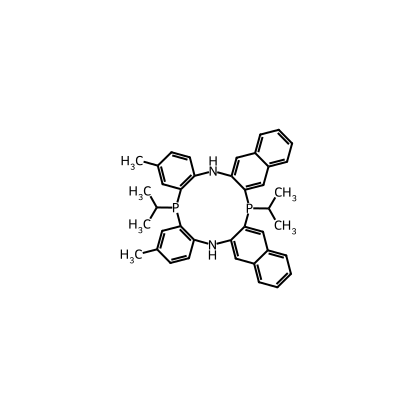 Cc1ccc2c(c1)P(C(C)C)c1cc(C)ccc1Nc1cc3ccccc3cc1P(C(C)C)c1cc3ccccc3cc1N2